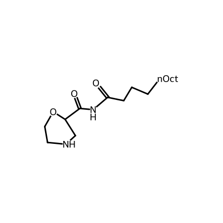 CCCCCCCCCCCC(=O)NC(=O)C1CNCCO1